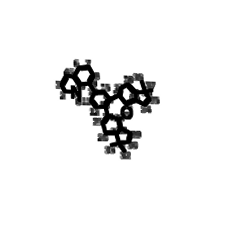 CN1CC=Cc2cccc(-c3ccc4c(c3)-c3ccc5c(c3Oc3c-4ccc4c3C=CC4(C)C)C=CC5(C)C)c21